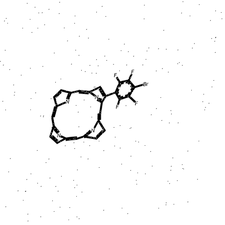 Fc1c(F)c(C2=CC3=CC4=NC(=CC5=NC(=CC6=NC(=CC2=N3)C=C6)C=C5)C=C4)c(F)c(F)c1Br